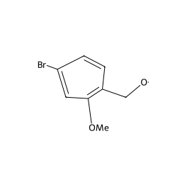 COc1cc(Br)ccc1C[O]